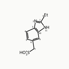 [CH2]Cc1nc2ccc(CS(=O)(=O)O)cc2[nH]1